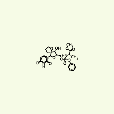 COC(=O)[C@H](C)NP(=O)(OCC1OC(n2ccc(=O)[nH]c2=O)[C@]2(CCCO2)[C@@H]1O)Oc1ccccc1